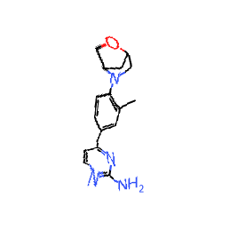 Cc1cc(-c2ccnc(N)n2)ccc1N1CC2CC1CO2